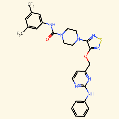 O=C(Nc1cc(C(F)(F)F)cc(C(F)(F)F)c1)N1CCN(c2nsnc2OCc2ccnc(Nc3ccccc3)n2)CC1